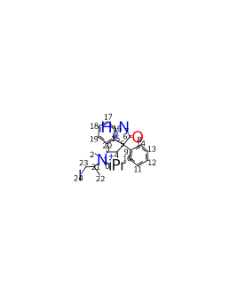 CC(C)[N+](C)(CCC(C(N)=O)(c1ccccc1)c1ccccc1)C(C)CI